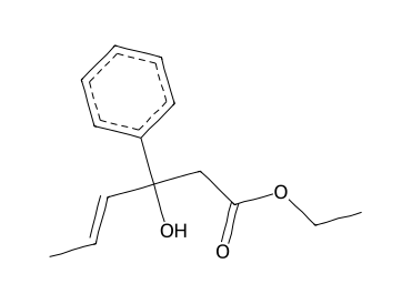 CC=CC(O)(CC(=O)OCC)c1ccccc1